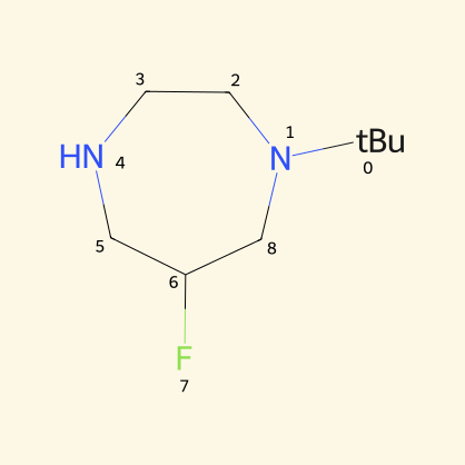 CC(C)(C)N1CCNCC(F)C1